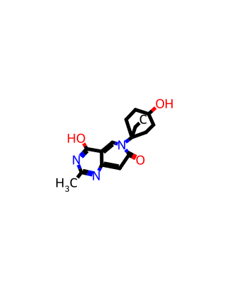 Cc1nc(O)c2cn(C34CCC(O)(CC3)CC4)c(=O)cc2n1